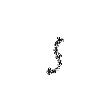 CC(C)(c1ccc(Oc2ccc(CCN3C(=O)c4ccc(Oc5ccc(C(C)(C)c6ccc(Oc7ccc8c(c7)C(=O)NC8=O)cc6)cc5)cc4C3=O)cc2)cc1)c1ccc(Oc2ccc(N3C(=O)C=CC3=O)cc2)cc1